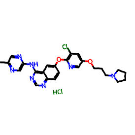 Cc1cnc(Nc2ncnc3ccc(Oc4ncc(OCCCN5CCCC5)cc4Cl)cc23)cn1.Cl